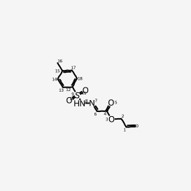 C=CCOC(=O)C=NNS(=O)(=O)c1ccc(C)cc1